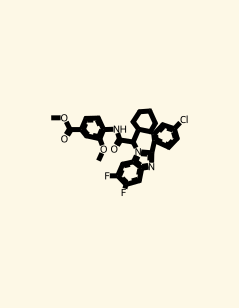 COC(=O)c1ccc(NC(=O)C(C2CCCCC2)n2c(-c3ccc(Cl)cc3)nc3cc(F)c(F)cc32)c(OC)c1